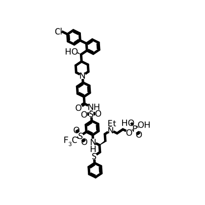 CCN(CCOP(=O)(O)O)CC[C@@H](CSc1ccccc1)Nc1ccc(S(=O)(=O)NC(=O)c2ccc(N3CCC([C@H](O)c4ccccc4-c4ccc(Cl)cc4)CC3)cc2)cc1S(=O)(=O)C(F)(F)F